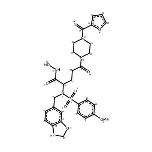 COc1ccc(S(=O)(=O)N(Cc2ccc3c(c2)OCO3)C(CCC(=O)N2CCN(C(=O)c3ccco3)CC2)C(=O)NO)cc1